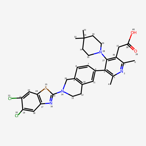 Cc1nc(C)c(-c2ccc3c(c2)CCN(c2nc4cc(Cl)c(Cl)cc4s2)C3)c(N2CCC(C)(C)CC2)c1CC(=O)O